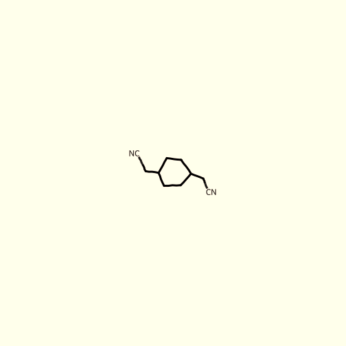 N#CCC1CCC(CC#N)CC1